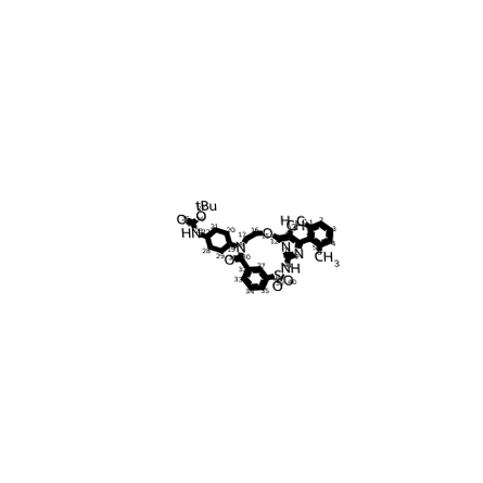 Cc1cccc(C)c1-c1nc2nc(c1C)OCCN(C1CCC(NC(=O)OC(C)(C)C)CC1)C(=O)c1cccc(c1)S(=O)(=O)N2